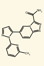 Cc1cccc(-n2nccc2-c2ccc3nnc(C(N)=O)n3c2)n1